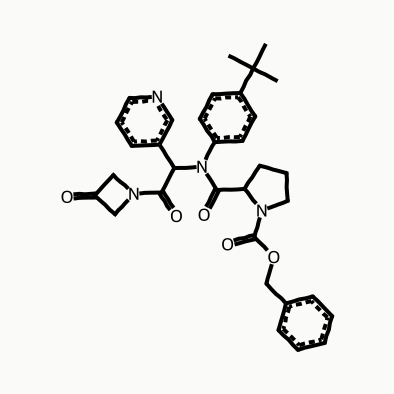 CC(C)(C)c1ccc(N(C(=O)C2CCCN2C(=O)OCc2ccccc2)C(C(=O)N2CC(=O)C2)c2cccnc2)cc1